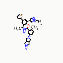 Cc1ccc(N2CC3CNCC3C2)cc1C(=O)NC(C)c1cc(-c2cnn(C)c2)cc(-c2cccs2)c1